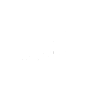 O=Nc1cccc(CN2CCc3ccccc3C2)c1